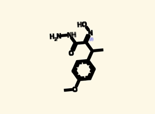 COc1ccc(C(C)/C(=N/O)C(=O)NN)cc1